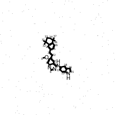 COc1cc2ncnc(Nc3ccc4[nH]ccc4c3)c2cc1/C=C/c1ccc2c(c1)C(C)(C)CCC2(C)C